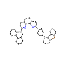 c1ccc2c(c1)cc(-c1ccc3ccc4ccc(-c5ccc(-c6cccc7sc8ccccc8c67)cc5)nc4c3n1)c1ccccc12